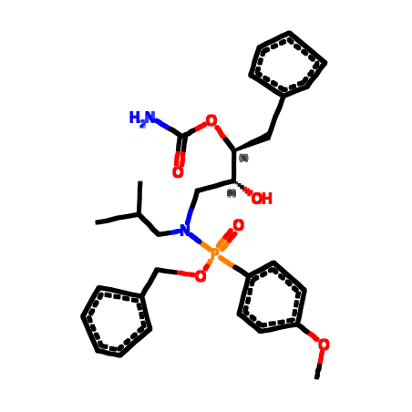 COc1ccc(P(=O)(OCc2ccccc2)N(CC(C)C)C[C@@H](O)[C@H](Cc2ccccc2)OC(N)=O)cc1